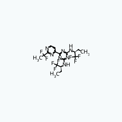 CC[C@H](Nc1nc(N[C@@H](CC)C(F)(F)F)nc(-c2ccnc(C(C)(F)F)n2)n1)C(F)(F)F